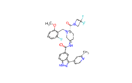 COc1cccc(F)c1CN1C[C@H](NC(=O)c2ccc3[nH]nc(-c4ccnc(C)c4)c3c2)CC[C@H]1C(=O)N1CC(F)(F)C1